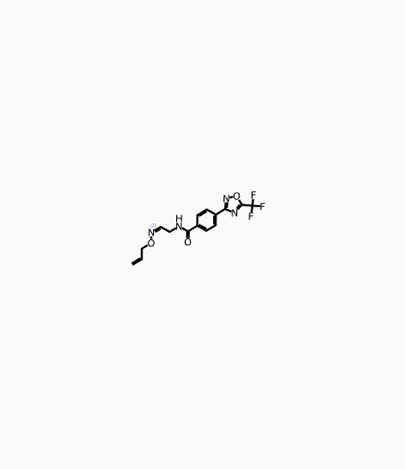 C=CCO/N=C\CNC(=O)c1ccc(-c2noc(C(F)(F)F)n2)cc1